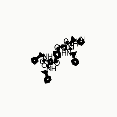 O=C(NC1CC1c1ccccc1)[C@@H]1CN(C(=O)c2ccc(C(=O)N3C[C@@H](C(=O)NC4C[C@@H]4c4cccnc4)[C@H](C(=O)N[C@H]4C[C@@H]4c4ccccc4)C3)cc2)C[C@H]1C(=O)N[C@H]1CC1c1ccccc1